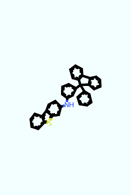 c1ccc(C2(c3cccc(Nc4ccc5c(c4)sc4ccccc45)c3)c3ccccc3-c3ccccc32)cc1